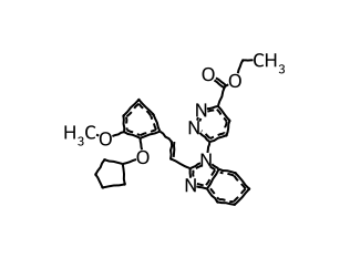 CCOC(=O)c1ccc(-n2c(C=Cc3cccc(OC)c3OC3CCCC3)nc3ccccc32)nn1